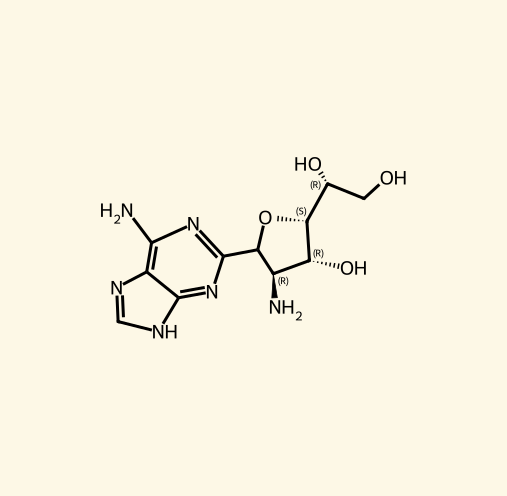 Nc1nc(C2O[C@H]([C@H](O)CO)[C@H](O)[C@H]2N)nc2[nH]cnc12